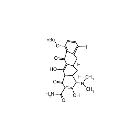 CCCCOc1ccc(I)c2c1C(=O)C1=C(O)C3C(=O)C(C(N)=O)=C(O)[C@@H](N(C)C)[C@@H]3C[C@@H]1C2